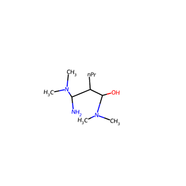 CCCC(C(N)N(C)C)C(O)N(C)C